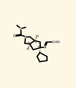 CN(C)C(=O)N1C[C@@H]2C[C@@](N=CC=O)(C3CCCC3)C[C@@H]2C1